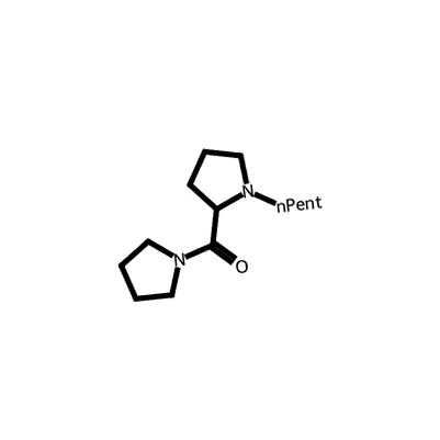 CCCCCN1CCCC1C(=O)N1CCCC1